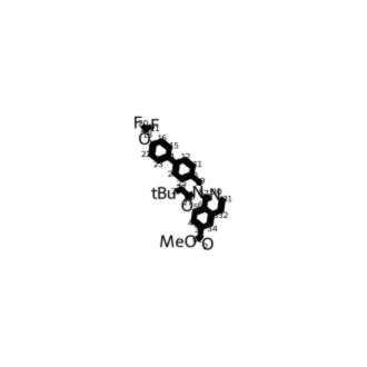 COC(=O)c1ccc2c(N(Cc3ccc(-c4ccc(OC(F)F)cc4)cc3)C(=O)CC(C)(C)C)nccc2c1